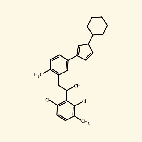 Cc1ccc(C2=CC(C3CCCCC3)C=C2)cc1CC(C)c1c(Cl)ccc(C)c1Cl